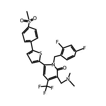 CN(C)Cc1c(C(F)(F)F)cc(-c2ccc(-c3ccc(S(C)(=O)=O)cc3)s2)n(Cc2ccc(F)cc2F)c1=O